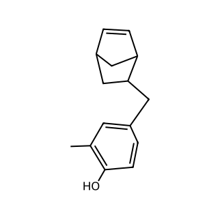 Cc1cc(CC2CC3C=CC2C3)ccc1O